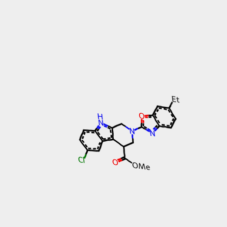 CCc1ccc2nc(N3Cc4[nH]c5ccc(Cl)cc5c4C(C(=O)OC)C3)oc2c1